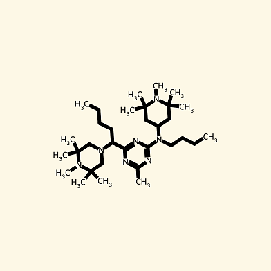 CCCCC(c1nc(C)nc(N(CCCC)C2CC(C)(C)N(C)C(C)(C)C2)n1)N1CC(C)(C)N(C)C(C)(C)C1